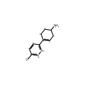 NC1CC=C(c2ccc(Cl)nn2)CC1